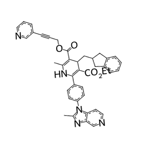 CCOC(=O)C1=C(c2ccc(-n3c(C)nc4cnccc43)cc2)NC(C)=C(C(=O)OCC#Cc2cccnc2)C1CC1Cc2ccccc2C1